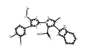 COC(=O)c1c(-c2nc3ccccc3[nH]2)c(C)nn1-c1nc(-c2ccc(Cl)c(Cl)c2)c(SC(C)C)s1